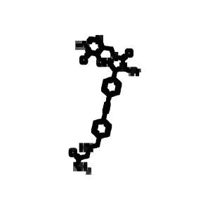 CC(C)N1C(=O)N(Cc2nc[nH]c(=O)c2O)CC1c1ccc(C#Cc2ccc(CNCC(N)=O)cc2)cc1